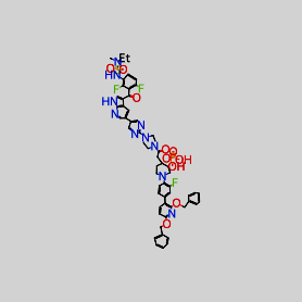 CCN(C)S(=O)(=O)Nc1ccc(F)c(C(=O)c2c[nH]c3ncc(-c4cnc(N5CCN(C(=O)CC6(OP(=O)(O)O)CCN(c7ccc(-c8ccc(OCc9ccccc9)nc8OCc8ccccc8)cc7F)CC6)CC5)nc4)cc23)c1F